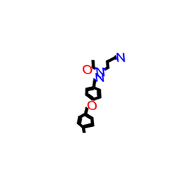 CC(=O)N(CCC#N)N=Cc1ccc(OCc2ccc(C)cc2)cc1